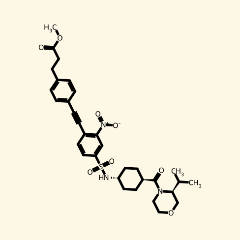 COC(=O)CCc1ccc(C#Cc2ccc(S(=O)(=O)N[C@H]3CC[C@H](C(=O)N4CCOC[C@@H]4C(C)C)CC3)cc2[N+](=O)[O-])cc1